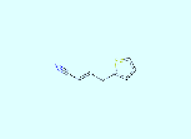 N#CC=CCc1cccs1